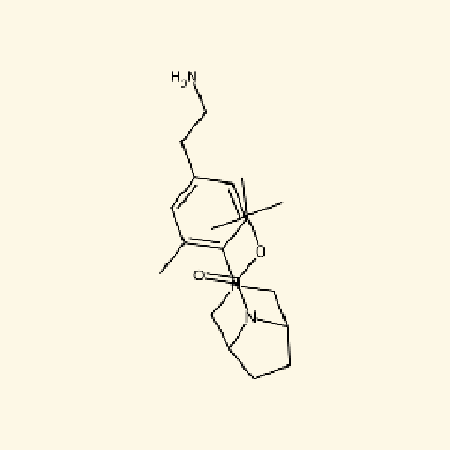 Cc1cc(CCN)ccc1N1CC2CCC(C1)N2C(=O)OC(C)(C)C